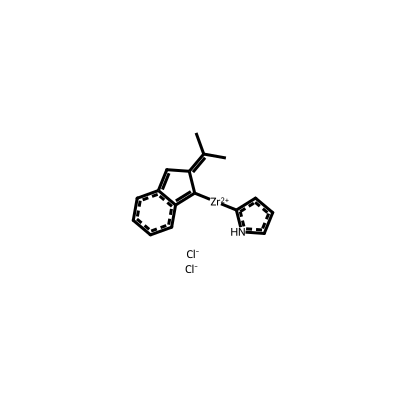 CC(C)=C1C=c2ccccc2=[C]1[Zr+2][c]1ccc[nH]1.[Cl-].[Cl-]